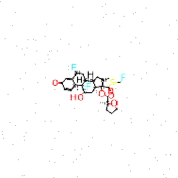 C[C@@H]1C[C@H]2[C@@H]3C[C@H](F)C4=CC(=O)C=C[C@]4(C)C3(F)[C@@H](O)C[C@]2(C)[C@@]1(OC(=O)[C@]1(C)CCCO1)C(=O)SCF